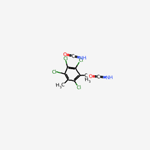 Cc1c(Cl)c(C)c(Cl)c(Cl)c1Cl.N=C=O.N=C=O